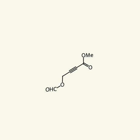 COC(=O)C#CCOC=O